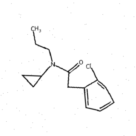 CCCN(C(=O)Cc1ccccc1Cl)C1CC1